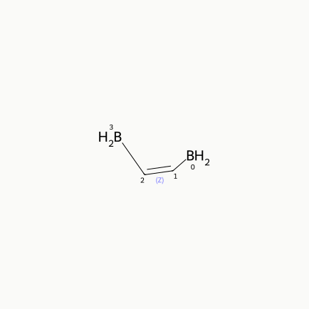 B/C=C\B